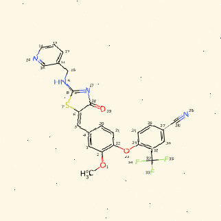 COc1cc(/C=C2/SC(NCc3cccnc3)=NC2=O)ccc1Oc1ccc(C#N)cc1C(F)(F)F